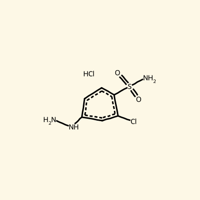 Cl.NNc1ccc(S(N)(=O)=O)c(Cl)c1